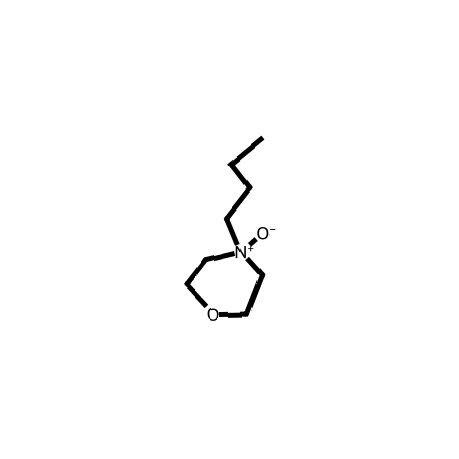 CCCC[N+]1([O-])CCOCC1